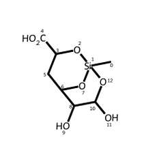 C[Si]12OC(C(=O)O)CC(O1)C(O)C(O)O2